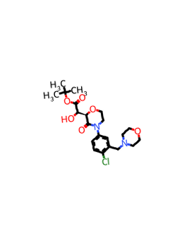 CC(C)(C)OC(=O)C(O)[C@H]1OCCN(c2ccc(Cl)c(CN3CCOCC3)c2)C1=O